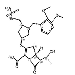 COc1cccc(CN2C[C@@H](SC3=C(C(=O)O)N4C(=O)[C@H]([C@@H](C)O)[C@H]4[C@H]3C)C[C@H]2CNS(N)(=O)=O)c1OC